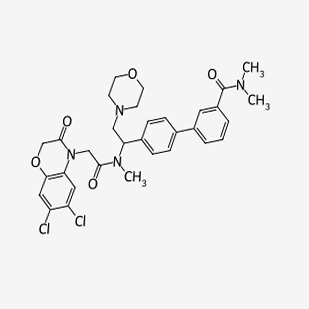 CN(C)C(=O)c1cccc(-c2ccc(C(CN3CCOCC3)N(C)C(=O)CN3C(=O)COc4cc(Cl)c(Cl)cc43)cc2)c1